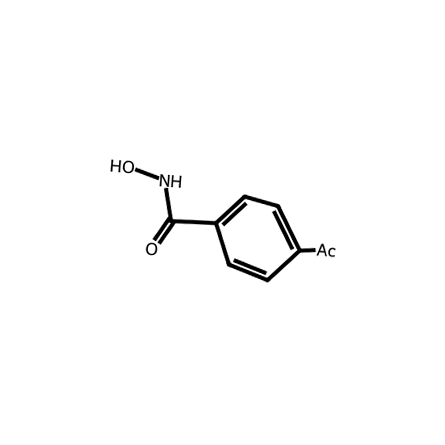 CC(=O)c1ccc(C(=O)NO)cc1